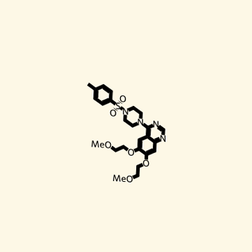 COCCOc1cc2ncnc(N3CCN(S(=O)(=O)c4ccc(C)cc4)CC3)c2cc1OCCOC